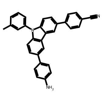 Cc1cccc(-n2c3ccc(-c4ccc(N)cc4)cc3c3cc(-c4ccc(C#N)cc4)ccc32)c1